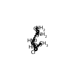 COCCOc1ccc(Cl)cc1NC(=O)c1ccc(NC(=O)CCCCCC2(C(N)=O)C=CC(C(N)=O)S2)s1